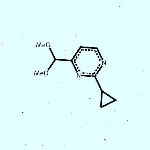 COC(OC)c1ccnc(C2CC2)n1